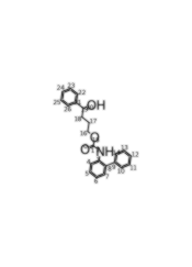 O=C(Nc1ccccc1-c1ccccc1)OCCCC(O)c1ccccc1